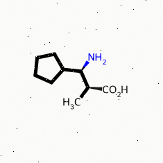 C[C@H](C(=O)O)[C@H](N)C1CCCC1